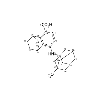 O=C(O)c1ncc(NC23CC4CC(CC(O)(C4)C2)C3)c2c1C1CCC2CC1